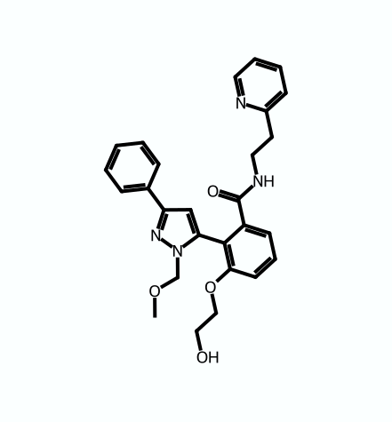 COCn1nc(-c2ccccc2)cc1-c1c(OCCO)cccc1C(=O)NCCc1ccccn1